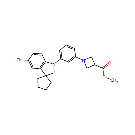 COC(=O)C1CN(c2cccc(N3CC4(CCCC4)c4cc(Cl)ccc43)c2)C1